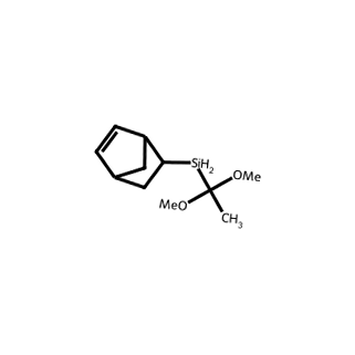 COC(C)(OC)[SiH2]C1CC2C=CC1C2